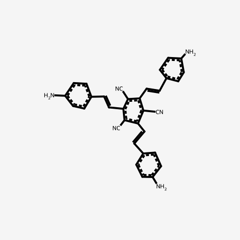 N#Cc1c(C=Cc2ccc(N)cc2)c(C#N)c(C=Cc2ccc(N)cc2)c(C#N)c1C=Cc1ccc(N)cc1